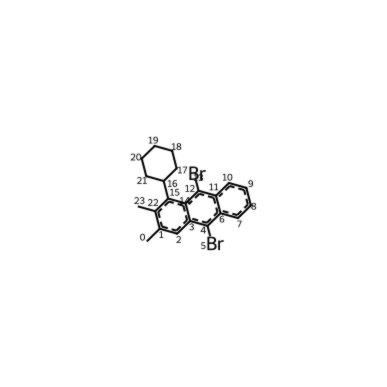 Cc1cc2c(Br)c3ccccc3c(Br)c2c(C2CCCCC2)c1C